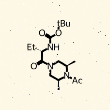 CC[C@H](NC(=O)OC(C)(C)C)C(=O)N1C[C@@H](C)N(C(C)=O)[C@@H](C)C1